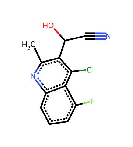 Cc1nc2cccc(F)c2c(Cl)c1C(O)C#N